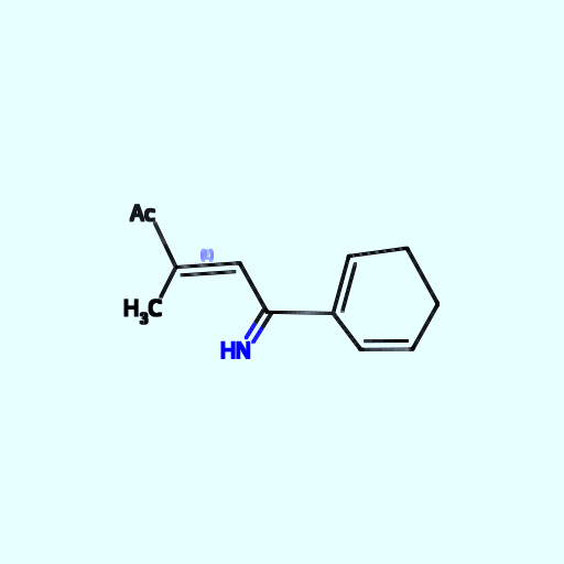 CC(=O)/C(C)=C/C(=N)C1=CCCC=C1